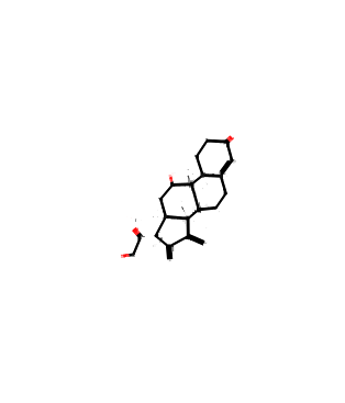 C=C1C(=C)[C@H]2[C@@H]3CCC4=CC(=O)CC[C@]4(C)[C@H]3C(O)C[C@]2(C)[C@H]1C(=O)CO